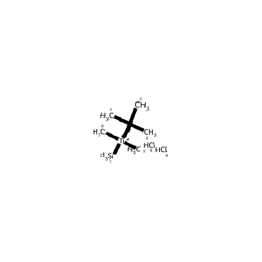 C[C](C)(C)[Ti]([CH3])([CH3])[SiH3].Cl.Cl